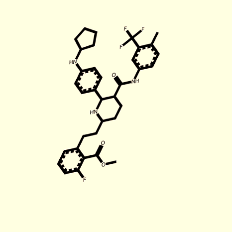 COC(=O)c1c(F)cccc1CCC1CCC(C(=O)Nc2ccc(C)c(C(F)(F)F)c2)C(c2ccc(NC3CCCC3)cc2)N1